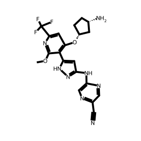 COc1nc(C(F)(F)F)cc(O[C@@H]2CC[C@H](N)C2)c1-c1cc(Nc2cnc(C#N)cn2)n[nH]1